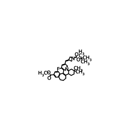 COC(=O)c1ccc2c(c1)CCCC(C1CCC(C)(C)CC1)=C2c1ncc(C=C2CN(C(=O)OC(C)(C)C)C2)cc1F